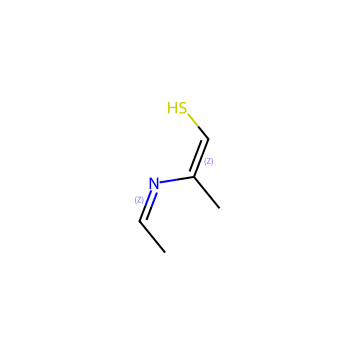 C/C=N\C(C)=C/S